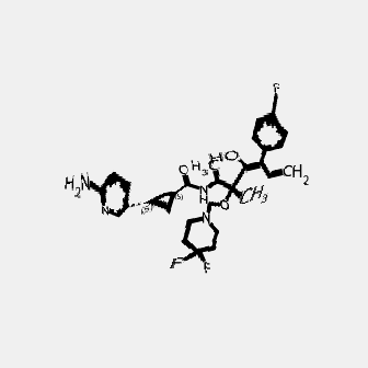 C=CC(=C(O)C(C)(OCN1CCC(F)(F)CC1)C(C)NC(=O)[C@H]1C[C@@H]1c1ccc(N)nc1)c1ccc(F)cc1